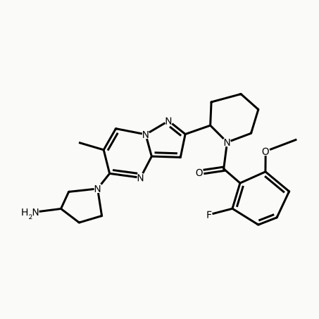 COc1cccc(F)c1C(=O)N1CCCCC1c1cc2nc(N3CCC(N)C3)c(C)cn2n1